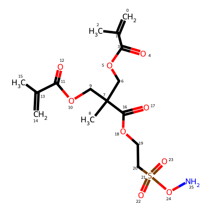 C=C(C)C(=O)OCC(C)(COC(=O)C(=C)C)C(=O)OCCS(=O)(=O)ON